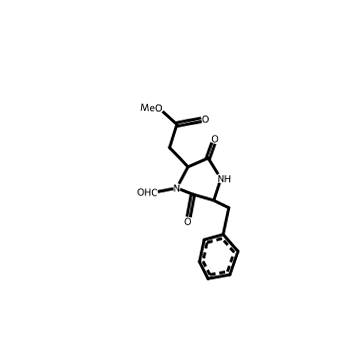 COC(=O)CC1C(=O)NC(Cc2ccccc2)C(=O)N1C=O